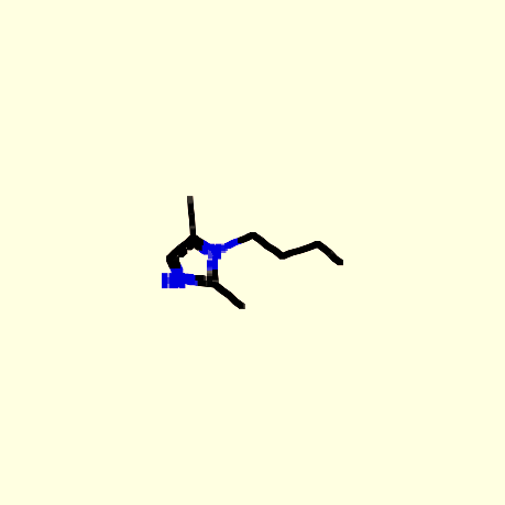 CCCC[n+]1c(C)c[nH]c1C